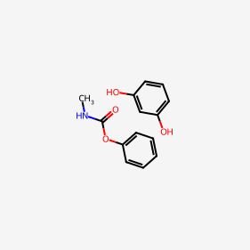 CNC(=O)Oc1ccccc1.Oc1cccc(O)c1